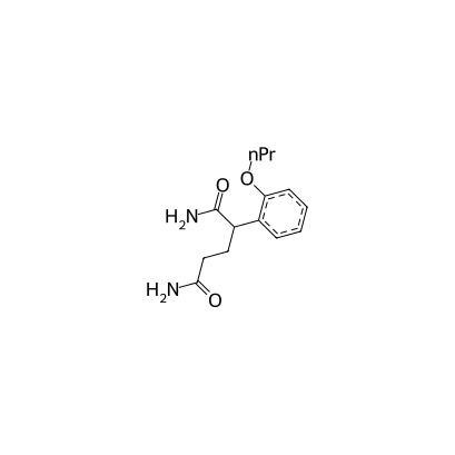 CCCOc1ccccc1C(CCC(N)=O)C(N)=O